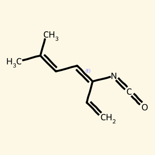 C=C/C(=C\C=C(C)C)N=C=O